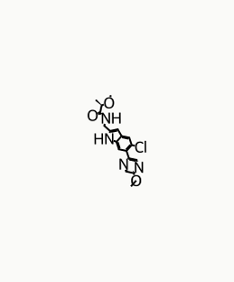 COc1cnc(-c2cc3[nH]c(CNC(=O)[C@@H](C)OC)cc3cc2Cl)cn1